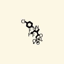 COP(=O)(CC(=O)c1cnn(-c2ccc(Cl)cc2)c1C(F)(F)F)OC